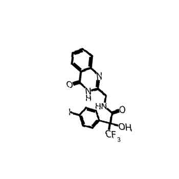 O=C(NCc1nc2ccccc2c(=O)[nH]1)C(O)(c1ccc(I)cc1)C(F)(F)F